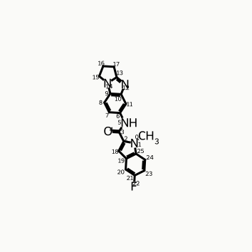 Cn1c(C(=O)Nc2ccc3c(c2)nc2n3CCC2)cc2cc(F)ccc21